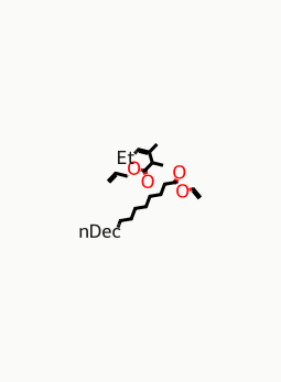 C=CCOC(=O)C(C)C(C)=CCC.C=COC(=O)CCCCCCCCCCCCCCCCC